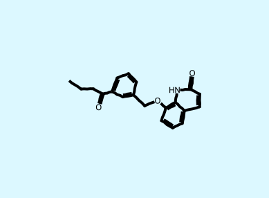 CCCC(=O)c1cccc(COc2cccc3ccc(=O)[nH]c23)c1